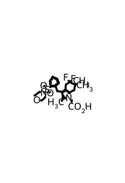 Cc1c(Cc2ccccc2S(=O)(=O)N2CCOCC2)c2c(n1CC(=O)O)CC(C)(C)C(F)(F)C2